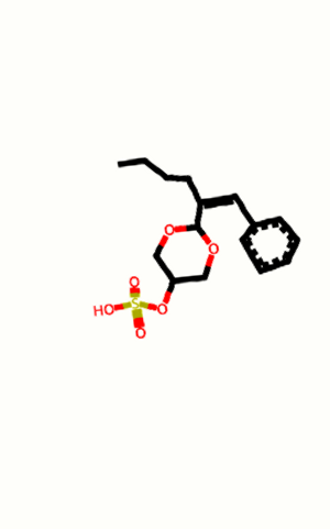 CCCC/C(=C/c1ccccc1)C1OCC(OS(=O)(=O)O)CO1